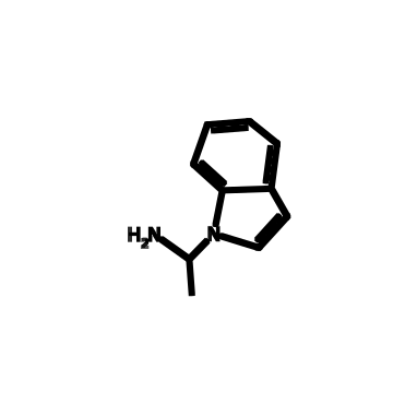 CC(N)n1ccc2ccccc21